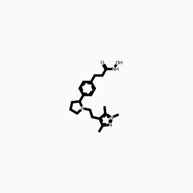 Cc1nn(C)c(C)c1CCN1CCCC1c1ccc(CCC(=O)NO)cc1